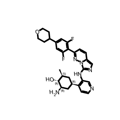 C[C@H]1C[C@@H](c2ccncc2Nc2ncc3ccc(-c4c(F)cc(C5CCOCC5)cc4F)nn23)C[C@@H](N)[C@@H]1O